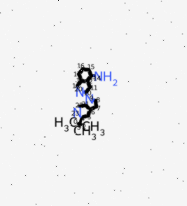 CC(C)(C)c1cc2ccn(-c3cc4c(N)cccc4cn3)c2cn1